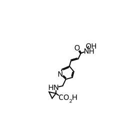 O=C(/C=C/c1ccc(CNC2(C(=O)O)CC2)nc1)NO